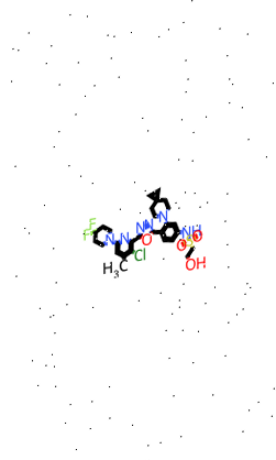 Cc1cc(N2CCC(F)(F)CC2)nc(-c2nnc(-c3ccc(NS(=O)(=O)CCO)cc3N3CCC4(CC3)CC4)o2)c1Cl